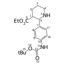 CCOC(=O)C1CCCNC1c1ccc(NC(=O)OC(C)(C)C)cc1